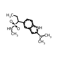 CCC(c1ccc2[nH]c(N(C)C)cc2c1)S(=O)(=O)NC